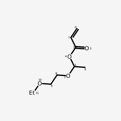 C=CC(=O)OC(C)OCCOCC